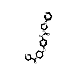 O=C(Nc1ccc(OC2CCN(C(=O)C3CCOC3)CC2)cc1)[C@H]1CCN(c2cccnc2)C1